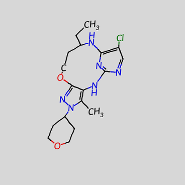 CCC1CCOc2nn(C3CCOCC3)c(C)c2Nc2ncc(Cl)c(n2)N1